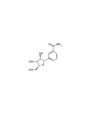 NC(=O)c1ccc[n+](C2O[C@@H](CO)C(O)[C@H]2O)c1